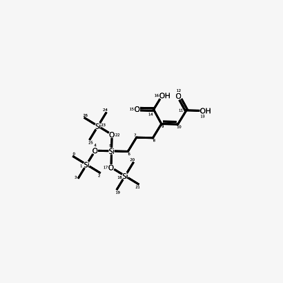 C[Si](C)(C)O[Si](CCCC(=CC(=O)O)C(=O)O)(O[Si](C)(C)C)O[Si](C)(C)C